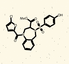 COC(=O)C1CN(C(=O)c2ccc(Cl)o2)c2ccccc2CN1S(=O)(=O)c1ccc(O)cc1